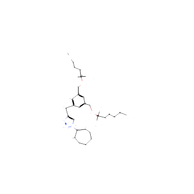 CCCCCC(C)(C)OCc1cc(COC(C)(C)CCCCC)cc(Cc2cn(C3CCCCCC3)nn2)c1